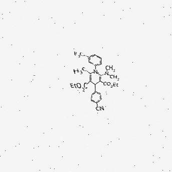 CCOC(=O)C1=C(C)N(c2cccc(C(F)(F)F)c2)C(N(C)C)=C(C(=O)OCC)C1c1ccc(C#N)cc1